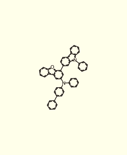 c1ccc(-c2ccc(N(c3ccccc3)c3cc(-c4ccc5c6ccccc6n(-c6ccccc6)c5c4)c4oc5ccccc5c4c3)cc2)cc1